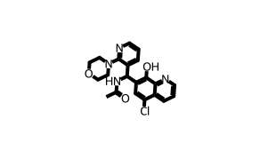 CC(=O)NC(c1cccnc1N1CCOCC1)c1cc(Cl)c2cccnc2c1O